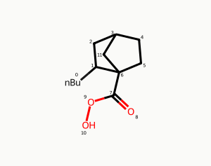 CCCCC1CC2CCC1(C(=O)OO)C2